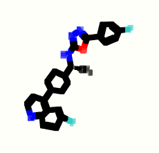 C[C@@H](Nc1nnc(-c2ccc(F)cc2)o1)C1CCC(c2ccnc3ccc(F)cc23)CC1